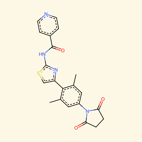 Cc1cc(N2C(=O)CCC2=O)cc(C)c1-c1csc(NC(=O)c2ccncc2)n1